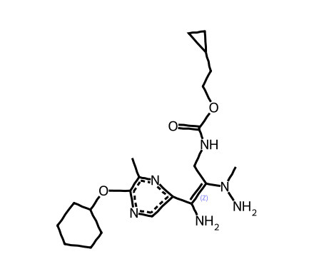 Cc1nc(/C(N)=C(\CNC(=O)OCCC2CC2)N(C)N)cnc1OC1CCCCC1